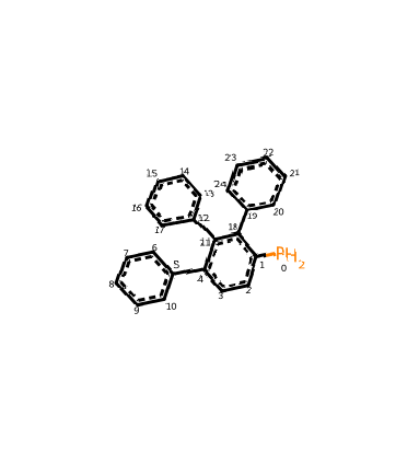 Pc1ccc(-c2ccccc2)c(-c2ccccc2)c1-c1ccccc1